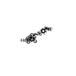 [N-]=[N+]=Nc1ccc(SSCCC(=O)ON2C(=O)CC(S(=O)(=O)O)C2=O)cc1